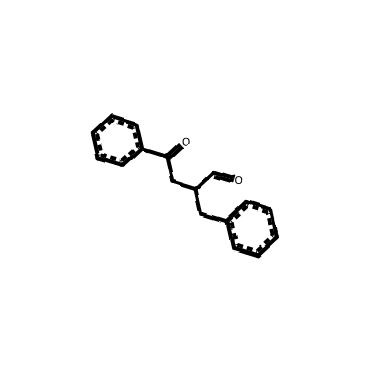 O=CC(CC(=O)c1ccccc1)Cc1ccccc1